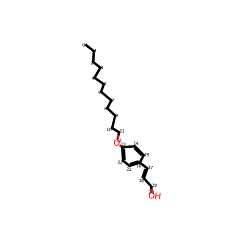 CCCCCCCCCCCCOc1ccc(C=CCO)cc1